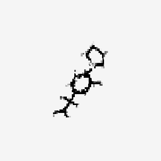 Cc1cc(C(C)(C)C(C)C)cnc1N1CCCC1